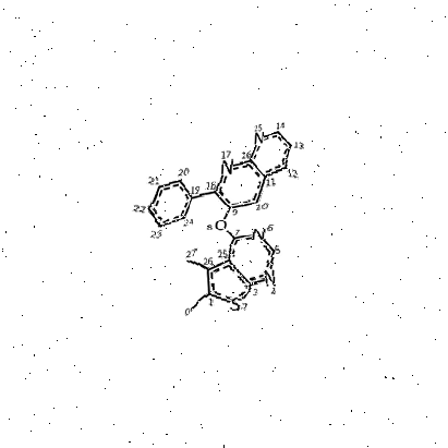 Cc1sc2ncnc(Oc3cc4cccnc4nc3-c3ccccc3)c2c1C